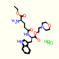 CCOC(=O)[C@H](N)CCC(=O)N[C@H](Cc1c[nH]c2ccccc12)C(=O)OCCN1CCOCC1.Cl.Cl